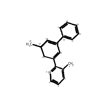 Cc1cccnc1C1=CC(c2ccccc2)=CC(C)C1